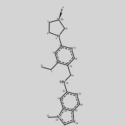 CCc1cc(N2CC[C@@H](F)C2)ncc1CNc1cc2c(cn1)ncn2C